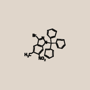 Cc1cc2c(Br)nn(C(c3ccccc3)(c3ccccc3)c3ccccc3)c2cc1[N+](=O)[O-]